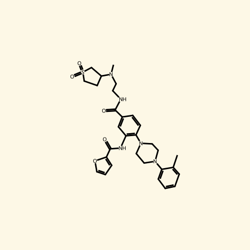 Cc1ccccc1N1CCN(c2ccc(C(=O)NCCN(C)C3CCS(=O)(=O)C3)cc2NC(=O)c2ccco2)CC1